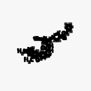 Cn1c(=O)c(-c2ccc(F)c(NC(=O)Nc3cc(C(C)(C)C)nn3CCN3CCN(C(=O)OCc4ccccc4)CC3)c2)cc2cnc(N)nc21